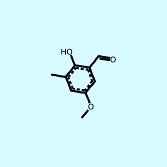 COc1cc(C)c(O)c(C=O)c1